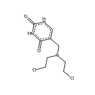 O=c1[nH]cc(CN(CCCl)CCCl)c(=O)[nH]1